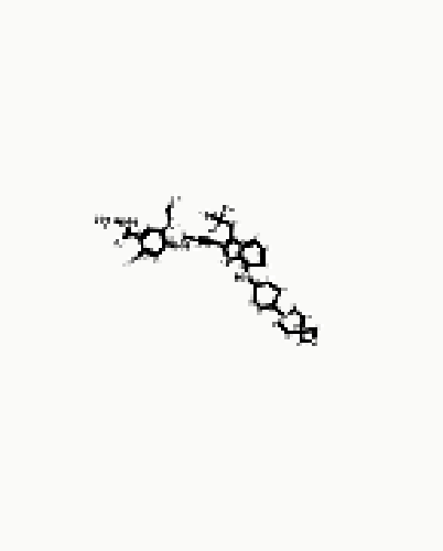 CNC(=O)c1cc(OCF)c(NCC#Cc2sc3c(NC4CCC(N5CCC6(CC5)COC6)CC4)cccc3c2CC(F)(F)F)cc1F